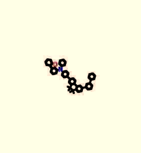 CC1(C)c2ccc(-c3cccc(-c4ccccc4)c3)cc2-c2ccc(-c3ccc(N(c4ccccc4)c4cccc5c4oc4ccccc45)cc3)cc2C1(C)C